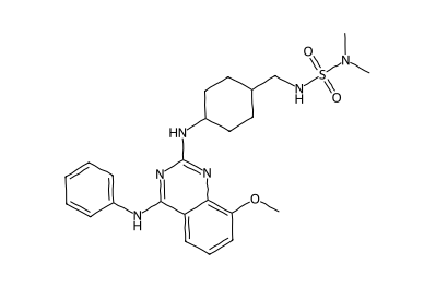 COc1cccc2c(Nc3ccccc3)nc(NC3CCC(CNS(=O)(=O)N(C)C)CC3)nc12